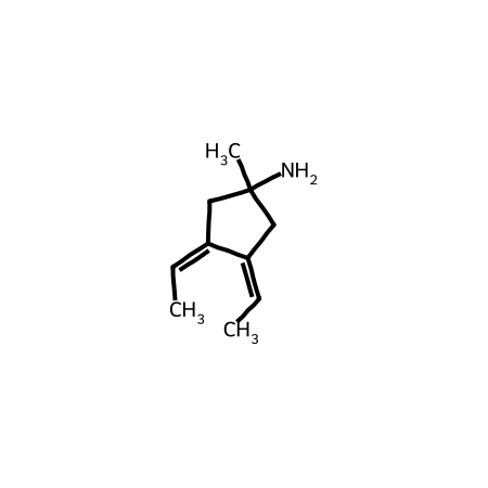 C/C=C1/CC(C)(N)C/C1=C/C